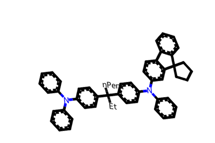 CCCCCC(CC)(c1ccc(N(c2ccccc2)c2ccccc2)cc1)c1ccc(N(c2ccccc2)c2ccc3c(c2)C2(CCCC2)c2ccccc2-3)cc1